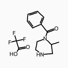 CC1CNCCN1C(=O)c1ccccc1.O=C(O)C(F)(F)F